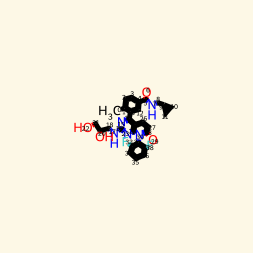 Cc1ccc(C(=O)NCC2CC2)cc1-c1nc(NCC(O)CO)nc2c1ccc(=O)n2-c1c(F)cccc1F